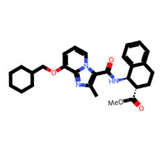 COC(=O)[C@H]1CCc2ccccc2[C@@H]1NC(=O)c1c(C)nc2c(OCC3CCCCC3)cccn12